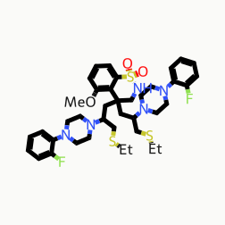 CCSCC(CC1(CC(CSCC)N2CCN(c3ccccc3F)CC2)CNS(=O)(=O)c2cccc(OC)c21)N1CCN(c2ccccc2F)CC1